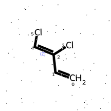 C=C/C(Cl)=C/Cl